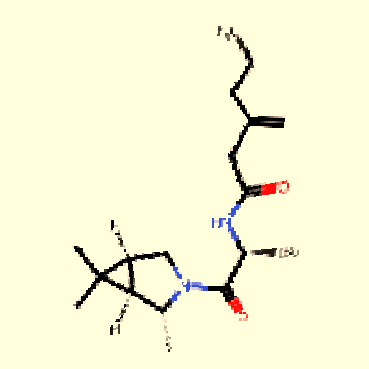 C=C(CCC(F)(F)F)CC(=O)N[C@H](C(=O)N1C[C@H]2[C@@H]([C@H]1C)C2(C)C)C(C)(C)C